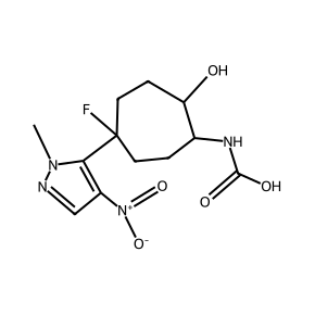 Cn1ncc([N+](=O)[O-])c1C1(F)CCC(O)C(NC(=O)O)CC1